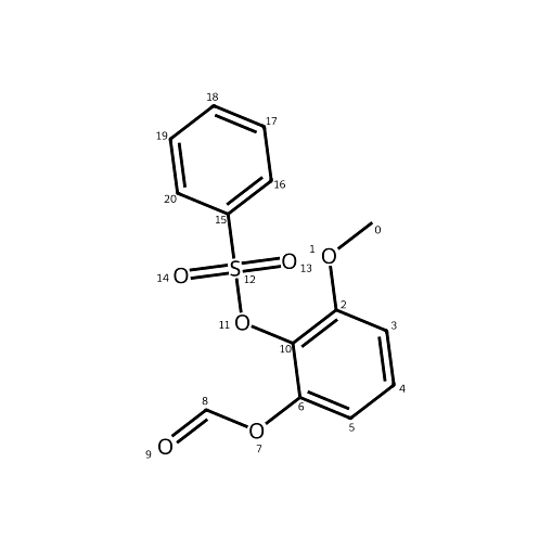 COc1cccc(OC=O)c1OS(=O)(=O)c1ccccc1